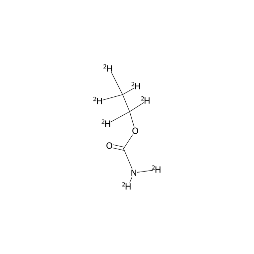 [2H]N([2H])C(=O)OC([2H])([2H])C([2H])([2H])[2H]